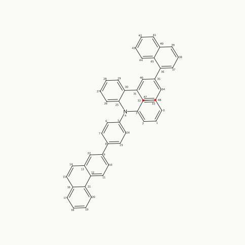 c1ccc(N(c2ccc(-c3ccc4c(ccc5ccccc54)c3)cc2)c2ccccc2-c2cccc(-c3cccc4ccccc34)c2)cc1